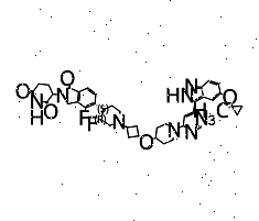 CC1(Oc2ccc3n[nH]c(-c4cc(N5CCC(O[C@H]6C[C@H](N7CC[C@@H](c8ccc9c(c8F)CN(C8CCC(=O)NC8=O)C9=O)[C@@H](F)C7)C6)CC5)ncn4)c3c2)CC1